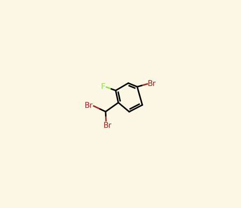 Fc1cc(Br)ccc1C(Br)Br